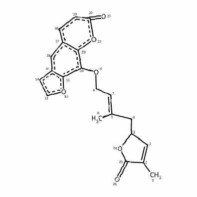 CC1=CC(C/C(C)=C/COc2c3occc3cc3ccc(=O)oc23)OC1=O